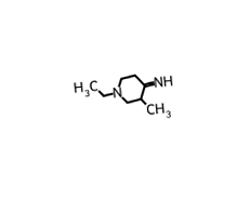 CCN1CCC(=N)C(C)C1